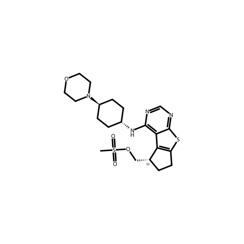 CS(=O)(=O)OC[C@H]1CCc2sc3ncnc(N[C@H]4CC[C@H](N5CCOCC5)CC4)c3c21